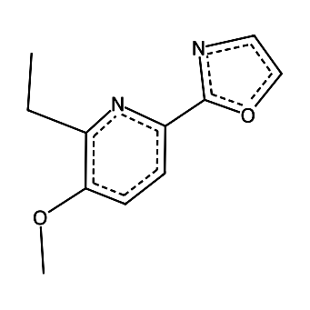 CCc1nc(-c2ncco2)ccc1OC